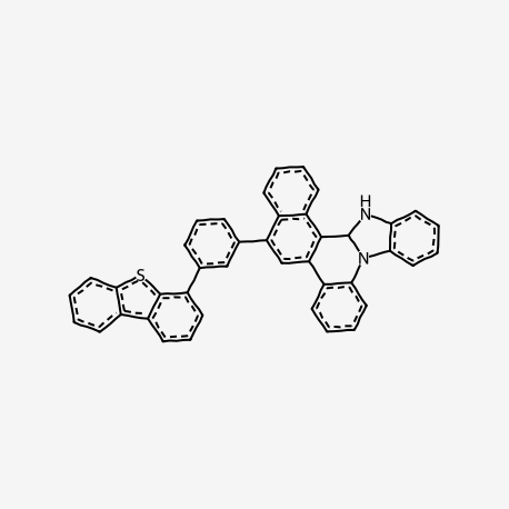 c1cc(-c2cc3c(c4ccccc24)C2Nc4ccccc4N2c2ccccc2-3)cc(-c2cccc3c2sc2ccccc23)c1